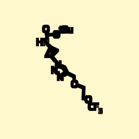 CC(C)(C)OC(=O)NC12CC(n3cc(COCCOC(F)(F)F)nn3)(C1)C2